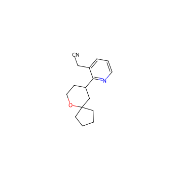 N#CCc1cccnc1C1CCOC2(CCCC2)C1